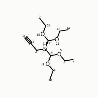 C#CC[SiH](C(OCC)OCC)C(OCC)OCC